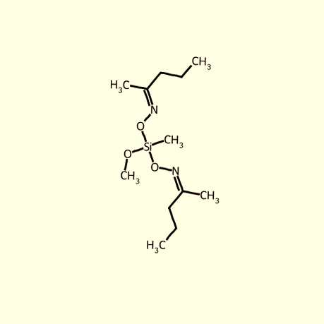 CCCC(C)=NO[Si](C)(OC)ON=C(C)CCC